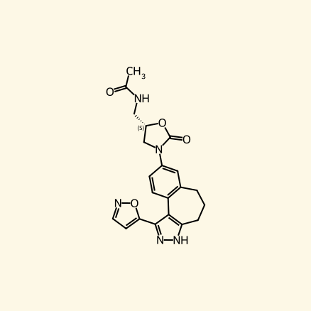 CC(=O)NC[C@H]1CN(c2ccc3c(c2)CCCc2[nH]nc(-c4ccno4)c2-3)C(=O)O1